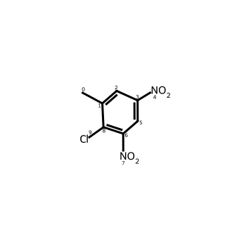 Cc1cc([N+](=O)[O-])cc([N+](=O)[O-])c1Cl